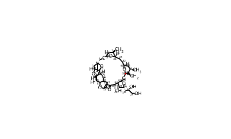 C=C1C[C@@H]2CC[C@@]34C[C@@H]5O[C@H]6[C@@H](O3)C3OC(CCC3O[C@H]6C5O4)CC(=O)C[C@@H]3[C@@H](C)[C@@H](C[C@H](O)CO)O[C@H]3C[C@H]3O[C@@H](CC[C@@H]1O2)C[C@@H](C)C3=C